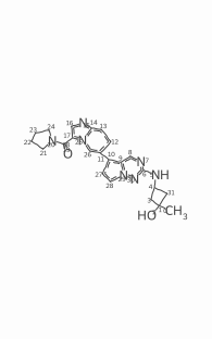 CC1(O)CC(Nc2ncc3c(-c4ccc5ncc(C(=O)N6CCCC6)n5c4)ccn3n2)C1